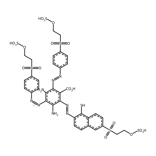 Nc1c(N=Nc2ccc(S(=O)(=O)CCOS(=O)(=O)O)cc2)c(C(=O)O)c(N=Nc2ccc3cc(S(=O)(=O)CCOS(=O)(=O)O)ccc3c2S)c(N)c1/N=N\c1ccc(S(=O)(=O)CCOS(=O)(=O)O)cc1